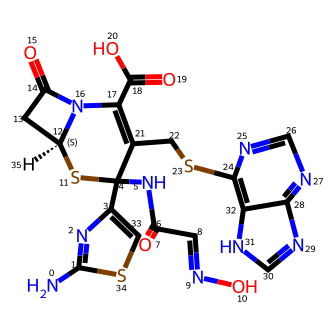 Nc1nc(C2(NC(=O)C=NO)S[C@H]3CC(=O)N3C(C(=O)O)=C2CSc2ncnc3nc[nH]c23)cs1